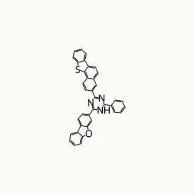 c1ccc(C2N=C(c3ccc4c(ccc5c6ccccc6sc45)c3)N=C(c3ccc4c(c3)oc3ccccc34)N2)cc1